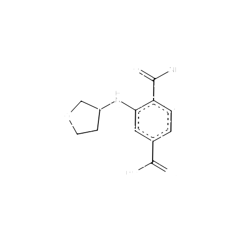 NC(=O)c1ccc(C(=O)O)cc1NC1CCOC1